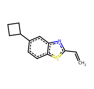 C=Cc1nc2cc(C3CCC3)ccc2s1